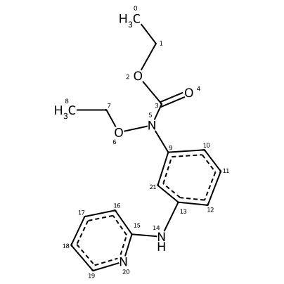 CCOC(=O)N(OCC)c1cccc(Nc2ccccn2)c1